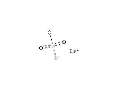 [Eu+2].[O]=[Cr](=[O])([O-])[O-]